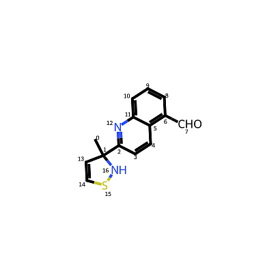 CC1(c2ccc3c(C=O)cccc3n2)C=CSN1